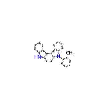 Cc1ccccc1-n1c2ccccc2c2c3c(ccc21)[nH]c1ccccc13